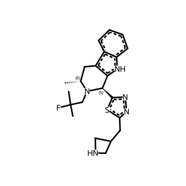 C[C@@H]1Cc2c([nH]c3ccccc23)[C@@H](c2nnc(CC3CNC3)s2)N1CC(C)(C)F